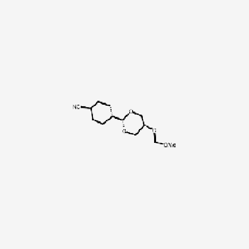 COCO[C@H]1CO[C@H]([C@H]2CC[C@H](C#N)CC2)OC1